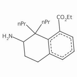 CCCC1(CCC)c2c(cccc2C(=O)OCC)CCC1N